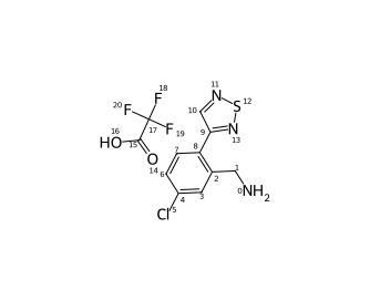 NCc1cc(Cl)ccc1-c1cnsn1.O=C(O)C(F)(F)F